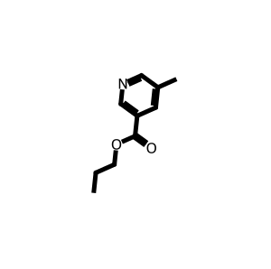 CCCOC(=O)c1cncc(C)c1